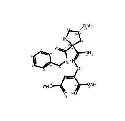 COC(=O)C=C(ON=C(N)[C@]1(C(=O)OCc2ccccc2)C[C@@H](OC)CN1)C(=O)OC